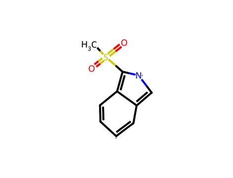 CS(=O)(=O)C1=c2cc[c]cc2=C[N]1